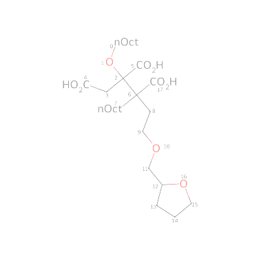 CCCCCCCCOC(CC(=O)O)(C(=O)O)C(CCCCCCCC)(CCOCC1CCCO1)C(=O)O